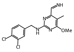 COc1nc(NCc2ccc(Cl)c(Cl)c2)nc(C=N)c1C